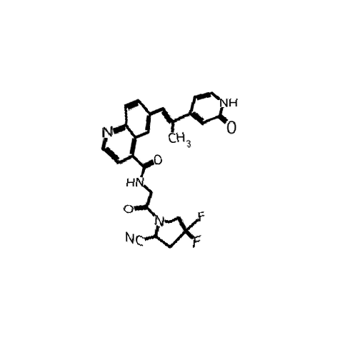 CC(=Cc1ccc2nccc(C(=O)NCC(=O)N3CC(F)(F)CC3C#N)c2c1)c1cc[nH]c(=O)c1